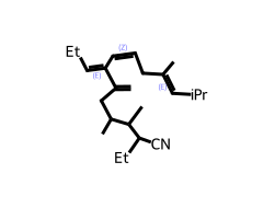 C=C(CC(C)C(C)C(C#N)CC)C(/C=C\C/C(C)=C/C(C)C)=C/CC